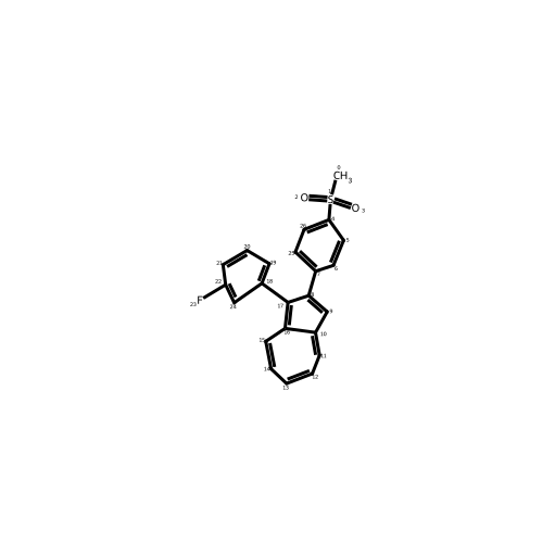 CS(=O)(=O)c1ccc(-c2cc3cccccc-3c2-c2cccc(F)c2)cc1